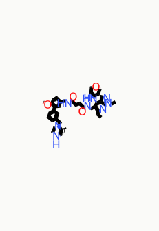 CCc1nc2c(cnn2CC)c(NC2CCOCC2)c1CNC(=O)CCC(=O)NCc1ccc(OC)c(-c2cccc(CN3CCNC[C@@H]3C)c2)c1